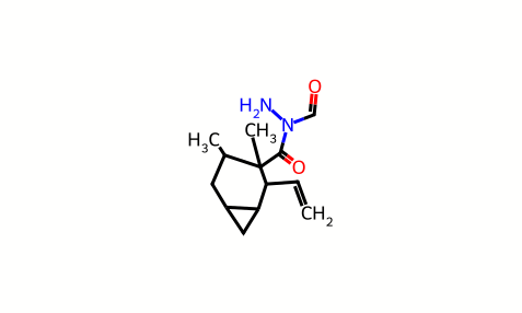 C=CC1C2CC2CC(C)C1(C)C(=O)N(N)C=O